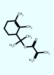 C=C(C)C(=O)OC(C)(C)C1CCCC(C)=C1C